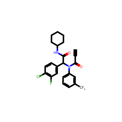 C#CC(=O)N(c1cccc(C(F)(F)F)c1)C(C(=O)NC1CCCCC1)c1ccc(Cl)c(F)c1